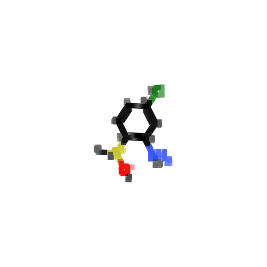 C[S+]([O-])c1ccc(Cl)cc1N